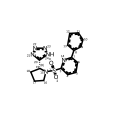 O=S(=O)(c1cccc(-c2ccccc2)n1)N1CCC[C@@H]1c1nnn[nH]1